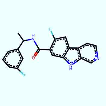 CC(NC(=O)c1cc2[nH]c3cnccc3c2cc1F)c1cccc(F)c1